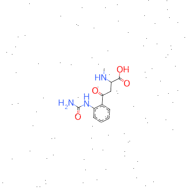 CNC(CC(=O)c1ccccc1NC(N)=O)C(=O)O